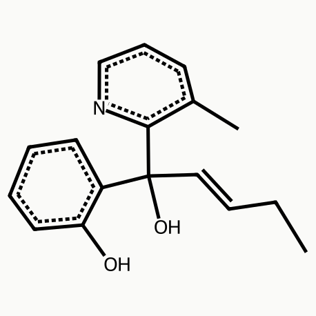 CCC=CC(O)(c1ccccc1O)c1ncccc1C